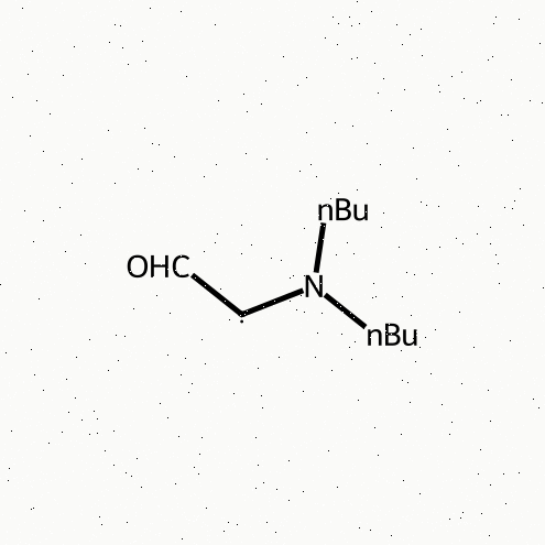 CCCCN([CH]C=O)CCCC